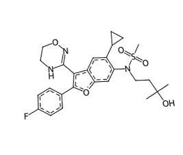 CC(C)(O)CCN(c1cc2oc(-c3ccc(F)cc3)c(C3=NOCCN3)c2cc1C1CC1)S(C)(=O)=O